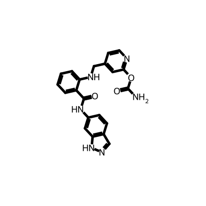 NC(=O)Oc1cc(CNc2ccccc2C(=O)Nc2ccc3cn[nH]c3c2)ccn1